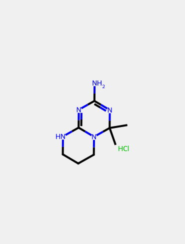 CC1(C)N=C(N)N=C2NCCCN21.Cl